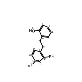 Oc1ccccc1C[CH]c1ccc(F)cc1F